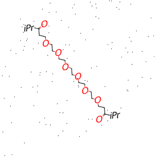 CC(C)C(=O)CCOCCOCCOCCOCCOCCOCCC(=O)C(C)C